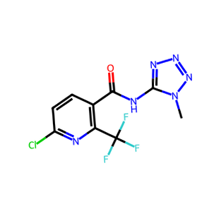 Cn1nnnc1NC(=O)c1ccc(Cl)nc1C(F)(F)F